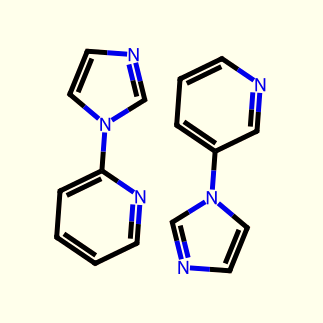 c1ccc(-n2ccnc2)nc1.c1cncc(-n2ccnc2)c1